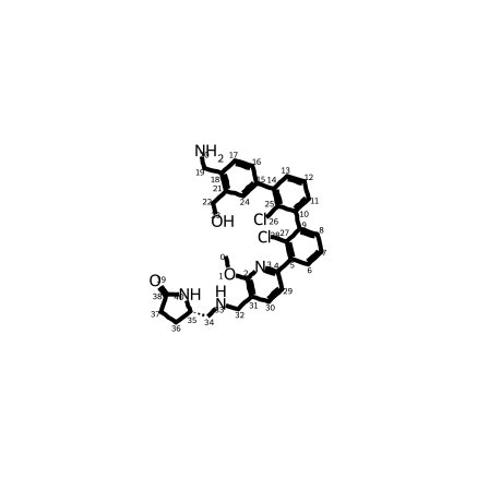 COc1nc(-c2cccc(-c3cccc(-c4ccc(CN)c(CO)c4)c3Cl)c2Cl)ccc1CNC[C@@H]1CCC(=O)N1